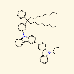 CCCCCCCCC1(CCCCCCCC)c2ccccc2-c2ccc(-n3c4ccccc4c4cc(-c5ccc6c(c5)c5ccccc5n6C(C)CC)ccc43)cc21